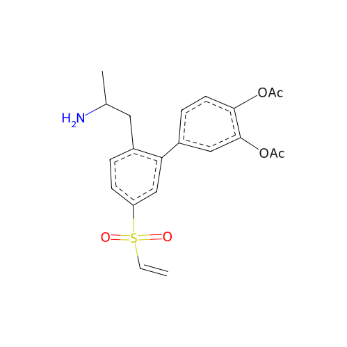 C=CS(=O)(=O)c1ccc(CC(C)N)c(-c2ccc(OC(C)=O)c(OC(C)=O)c2)c1